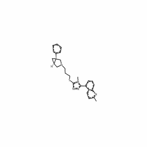 Cc1ccc2c(-c3nnc(SCCCN4C[C@H]5C[C@]5(c5ccccc5)C4)n3C)cccc2n1